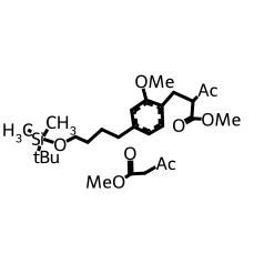 COC(=O)C(Cc1ccc(CCCCO[Si](C)(C)C(C)(C)C)cc1OC)C(C)=O.COC(=O)CC(C)=O